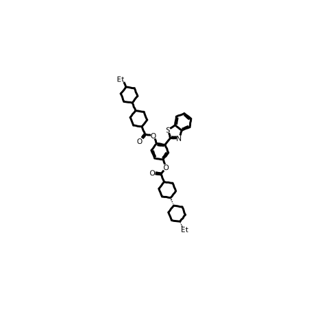 CCC1CCC(C2CCC(C(=O)Oc3ccc(OC(=O)C4CCC([C@H]5CC[C@@H](CC)CC5)CC4)cc3-c3nc4ccccc4s3)CC2)CC1